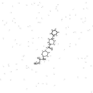 CC(C)(C)OC(=O)N[C@H]1CC[C@H](CC(=O)N2CCN(c3ccccc3)CC2)CC1